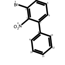 O=[N+]([O-])c1c(Br)cccc1-c1ccccc1